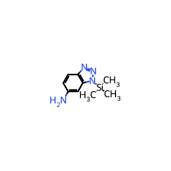 C[Si](C)(C)n1nnc2ccc(N)cc21